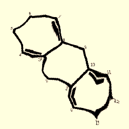 C1=C2CC3=CCCC=C3CC2=CCC1